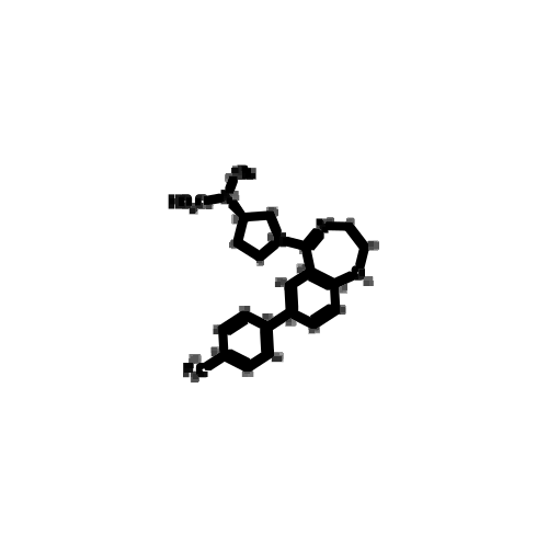 CC(C)(C)N(C(=O)O)[C@@H]1CCN(C2=NCCOc3ccc(-c4ccc(C(F)(F)F)cc4)cc32)C1